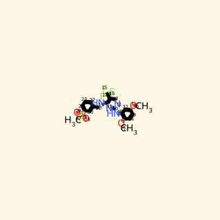 COc1ccc(OC)c(Nc2ncc(C(F)(F)F)c(NCc3cccc(S(C)(=O)=O)c3)n2)c1